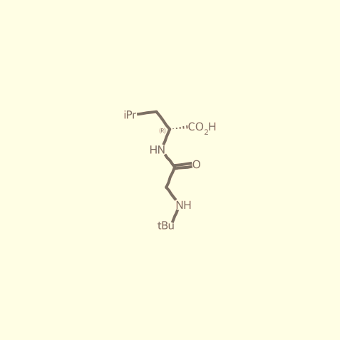 CC(C)C[C@@H](NC(=O)CNC(C)(C)C)C(=O)O